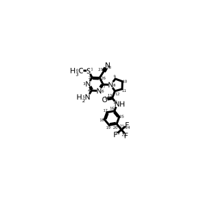 CSc1nc(N)nc(N2CCCC2C(=O)Nc2cccc(C(F)(F)F)c2)c1C#N